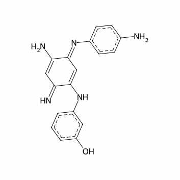 N=C1C=C(N)/C(=N/c2ccc(N)cc2)C=C1Nc1cccc(O)c1